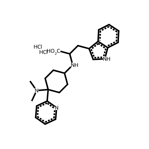 CN(C)C1(c2ccccn2)CCC(NC(Cc2c[nH]c3ccccc23)C(=O)O)CC1.Cl.Cl